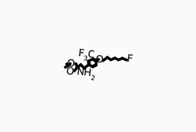 CC1(C)OCC(N)(CCc2ccc(OCCCCCCCF)c(C(F)(F)F)c2)CO1